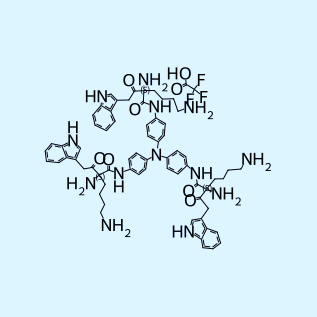 NCCCC[C@](N)(C(=O)Cc1c[nH]c2ccccc12)C(=O)Nc1ccc(N(c2ccc(NC(=O)[C@](N)(CCCCN)C(=O)Cc3c[nH]c4ccccc34)cc2)c2ccc(NC(=O)[C@](N)(CCCCN)C(=O)Cc3c[nH]c4ccccc34)cc2)cc1.O=C(O)C(F)(F)F